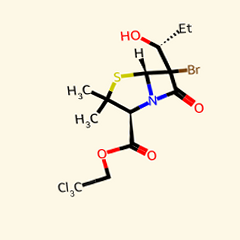 CC[C@@H](O)C1(Br)C(=O)N2[C@@H](C(=O)OCC(Cl)(Cl)Cl)C(C)(C)S[C@@H]21